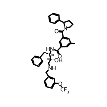 Cc1cc(C(=O)N[C@H](Cc2ccccc2)[C@H](O)CNCc2cccc(OC(F)(F)F)c2)cc(C(=O)N2CCCC2c2ccccc2)c1